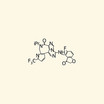 CC(C)N1Cc2nc(C(F)(F)F)ccc2-c2cnc(NCc3c(F)ccc4c3C(=O)CO4)n3cnc(c23)C1=O